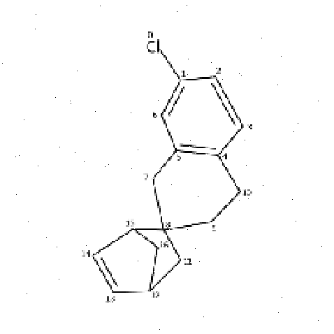 Clc1ccc2c(c1)CC1(CC2)CC2C=CC1C2